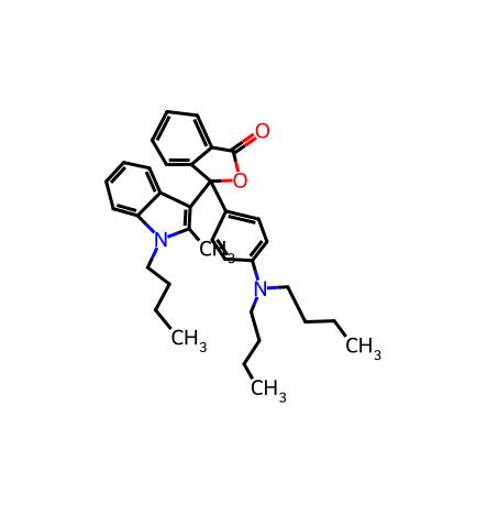 CCCCN(CCCC)c1ccc(C2(c3c(C)n(CCCC)c4ccccc34)OC(=O)c3ccccc32)cc1